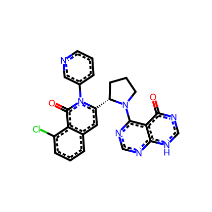 O=c1nc[nH]c2ncnc(N3CCC[C@H]3c3cc4cccc(Cl)c4c(=O)n3-c3cccnc3)c12